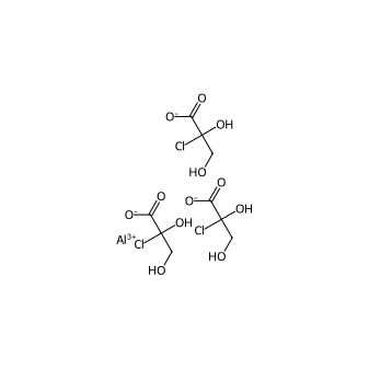 O=C([O-])C(O)(Cl)CO.O=C([O-])C(O)(Cl)CO.O=C([O-])C(O)(Cl)CO.[Al+3]